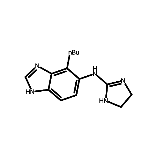 CCCCc1c(NC2=NCCN2)ccc2[nH]cnc12